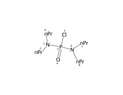 CCCN(CCC)P(=O)(Cl)N(CCC)CCC